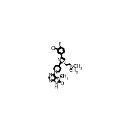 CN(C)CCn1cc(-c2ccc(F)c(Cl)c2)nc1C1CCN(c2ncnc3[nH]c(=O)n(C)c23)CC1